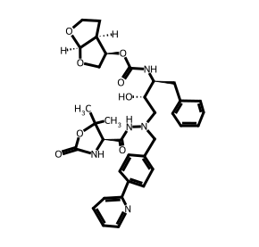 CC1(C)OC(=O)N[C@@H]1C(=O)NN(Cc1ccc(-c2ccccn2)cc1)C[C@H](O)[C@H](Cc1ccccc1)NC(=O)O[C@H]1CO[C@H]2OCC[C@H]21